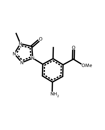 COC(=O)c1cc(N)cc(-n2nnn(C)c2=O)c1C